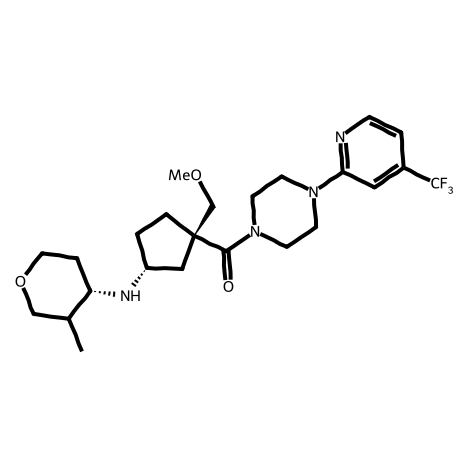 COC[C@]1(C(=O)N2CCN(c3cc(C(F)(F)F)ccn3)CC2)CC[C@@H](N[C@H]2CCOCC2C)C1